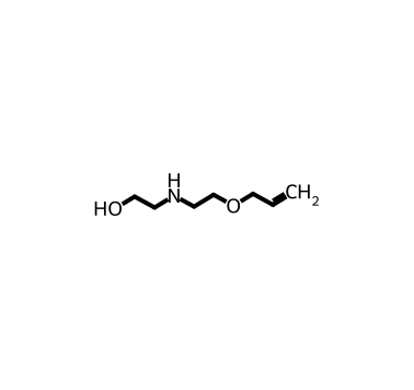 C=CCOCCNCCO